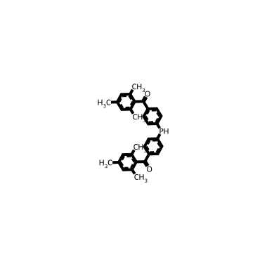 Cc1cc(C)c(C(=O)c2ccc(Pc3ccc(C(=O)c4c(C)cc(C)cc4C)cc3)cc2)c(C)c1